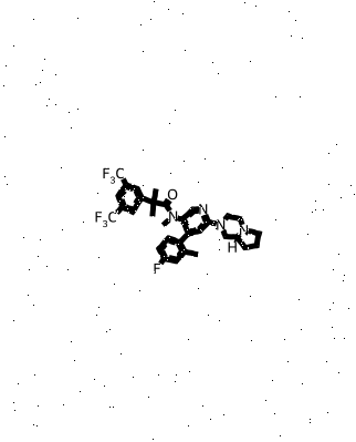 Cc1cc(F)ccc1-c1cc(N2CCN3CCC[C@H]3C2)ncc1N(C)C(=O)C(C)(C)c1cc(C(F)(F)F)cc(C(F)(F)F)c1